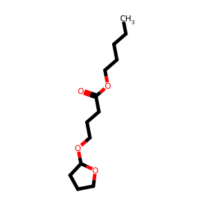 CCCCCOC(=O)CCCOC1CCCO1